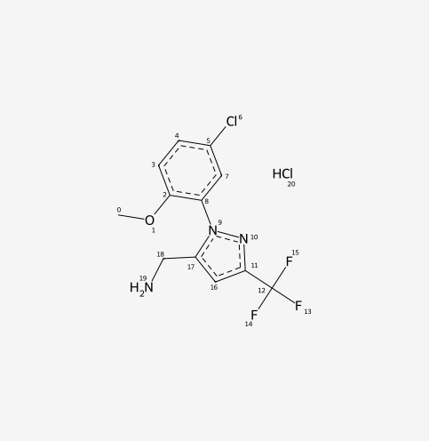 COc1ccc(Cl)cc1-n1nc(C(F)(F)F)cc1CN.Cl